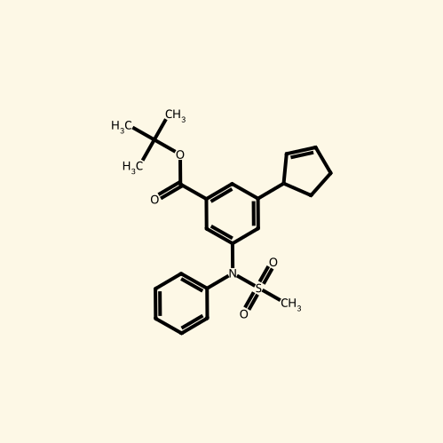 CC(C)(C)OC(=O)c1cc(C2C=CCC2)cc(N(c2ccccc2)S(C)(=O)=O)c1